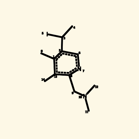 Cc1c(C(C)I)cnc(CN(C)C)c1C